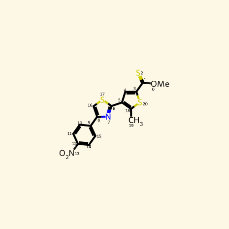 COC(=S)c1cc(-c2nc(-c3ccc([N+](=O)[O-])cc3)cs2)c(C)s1